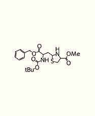 COC(=O)C1CSC(CC(NC(=O)OC(C)(C)C)C(=O)OCc2ccccc2)N1